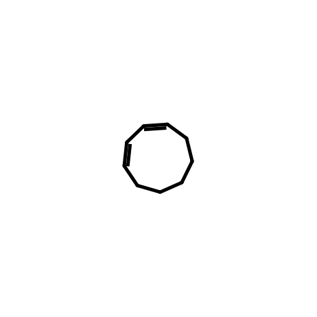 C1=CCCCCCC=C1